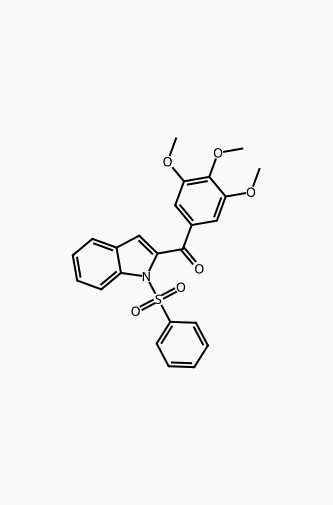 COc1cc(C(=O)c2cc3ccccc3n2S(=O)(=O)c2ccccc2)cc(OC)c1OC